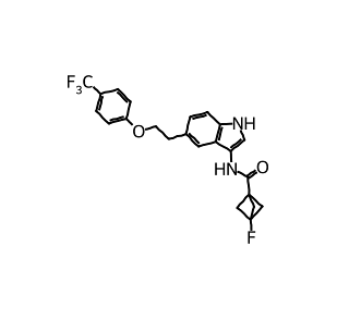 O=C(Nc1c[nH]c2ccc(CCOc3ccc(C(F)(F)F)cc3)cc12)C12CC(F)(C1)C2